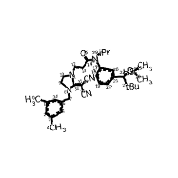 Cc1cc(C)cc(CN2CCN(CCC(=O)N(c3cccc(C(O[SiH](C)C)C(C)(C)C)c3)C(C)C)C2=C(C#N)C#N)c1